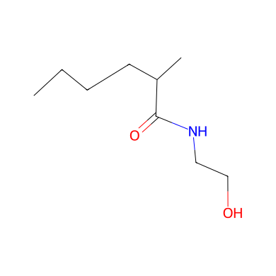 CCCCC(C)C(=O)NCCO